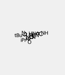 CC(C)n1c(=O)c2cnc(Nc3cc4c([nH]3)CCNC4)nc2n1-c1ccnc(C(C)(C)C)c1